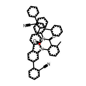 Cc1cccc(-n2c3cc(-c4ccccc4C#N)ccc3c3ccc(-c4ccccc4C#N)cc32)c1C(=O)N(C=O)c1ccc(-c2ccccc2)cc1-c1ccccc1